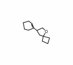 C1=C(C2COC3(CCC3)C2)CCCC1